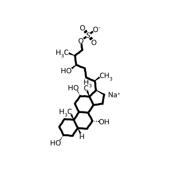 C[C@H](CC[C@@H](O)[C@@H](C)COS(=O)(=O)[O-])[C@H]1CCC2C3C(C[C@H](O)[C@@]21C)[C@@]1(C)CC[C@@H](O)C[C@H]1C[C@H]3O.[Na+]